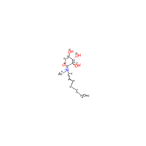 CCCCCCCCCCCCCCCCN(C(C)=O)C1OC[C@@H](O)[C@H](O)[C@H]1O